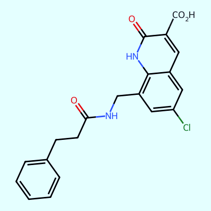 O=C(CCc1ccccc1)NCc1cc(Cl)cc2cc(C(=O)O)c(=O)[nH]c12